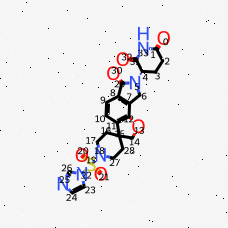 O=C1CC[C@H](N2Cc3c(ccc4c3OCC43CCN(S(=O)(=O)n4ccnc4)CC3)C2=O)C(=O)N1